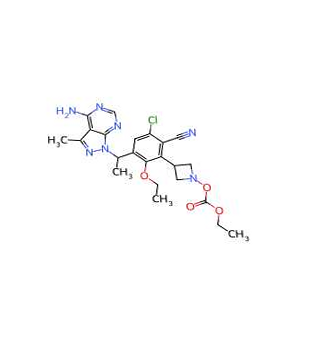 CCOC(=O)ON1CC(c2c(C#N)c(Cl)cc(C(C)n3nc(C)c4c(N)ncnc43)c2OCC)C1